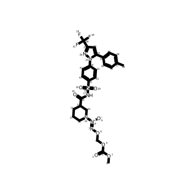 COC(=O)OCON=[N+]([O-])N1CCCC(C(=O)NS(=O)(=O)c2ccc(-n3nc(C(F)(F)F)cc3-c3ccc(C)cc3)cc2)C1